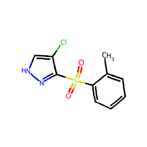 Cc1ccccc1S(=O)(=O)c1n[nH]cc1Cl